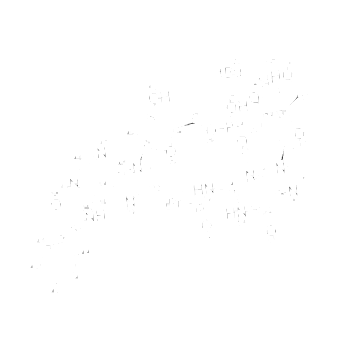 CC(C)C(=O)Nc1nc2c(ncn2[C@@H]2O[C@H](CO)[C@@H](O[Si](C)(C)C(C)(C)C)[C@H]2OP(O)OC[C@H]2O[C@@H](n3cnc4c(NC(=O)c5ccccc5)ncnc43)C[C@@H]2O)c(=O)[nH]1